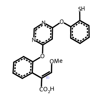 CO/C=C(/C(=O)O)c1ccccc1Oc1cc(Oc2ccccc2S)ncn1